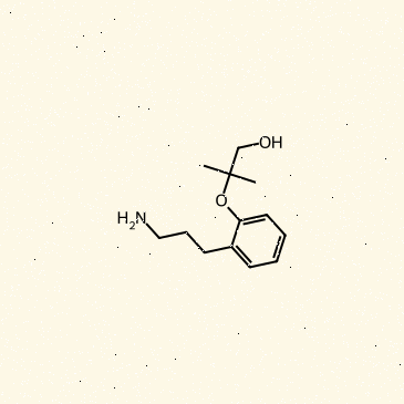 CC(C)(CO)Oc1ccccc1CCCN